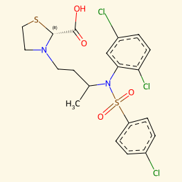 CC(CCN1CCS[C@@H]1C(=O)O)N(c1cc(Cl)ccc1Cl)S(=O)(=O)c1ccc(Cl)cc1